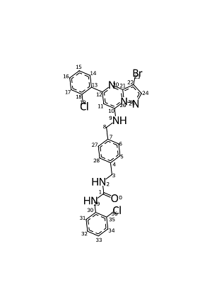 O=C(NCc1ccc(CNc2cc(-c3ccccc3Cl)nc3c(Br)cnn23)cc1)Nc1ccccc1Cl